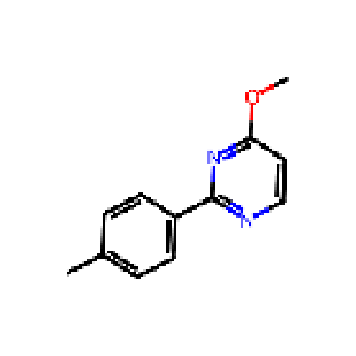 COc1ccnc(-c2ccc(C)cc2)n1